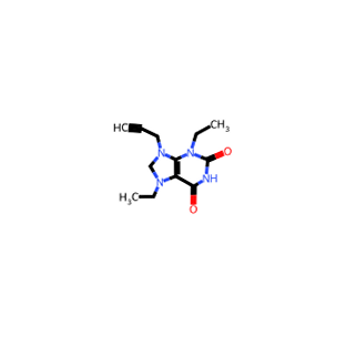 C#CCN1CN(CC)c2c1n(CC)c(=O)[nH]c2=O